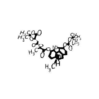 CC(OC(=O)C[C@@H]1OC(C)(C)OC1=O)C(=O)OC1=CC[C@@]2(O)[C@H]3Cc4ccc(OC(=O)OC(C)(C)C)c5c4[C@@]2(CCN3C)[C@H]1O5